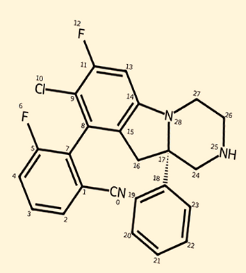 N#Cc1cccc(F)c1-c1c(Cl)c(F)cc2c1C[C@]1(c3ccccc3)CNCCN21